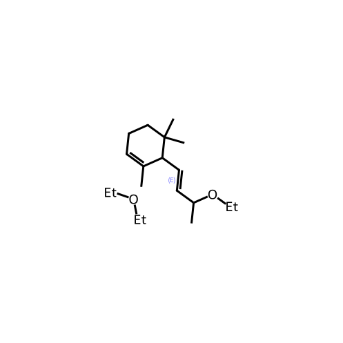 CCOC(C)/C=C/C1C(C)=CCCC1(C)C.CCOCC